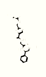 CC(C)(C)OC(=O)NCc1nc(C(=O)NCC(=O)NC(CC(=O)O)c2ccccc2)cs1